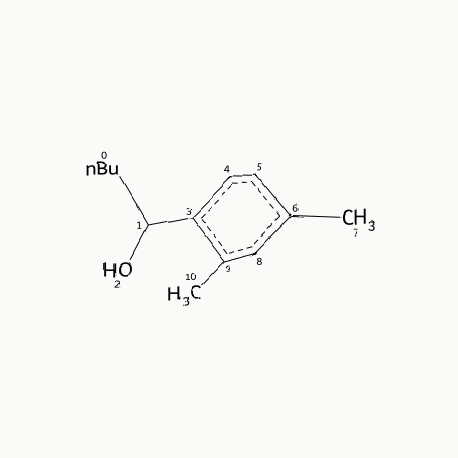 CCCCC(O)c1ccc(C)cc1C